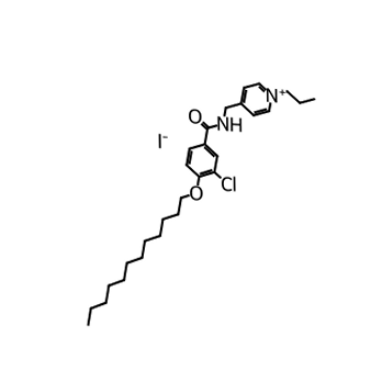 CCCCCCCCCCCCOc1ccc(C(=O)NCc2cc[n+](CCC)cc2)cc1Cl.[I-]